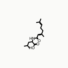 CC(C)=CCCC(C)=CC(=O)NC(CC(C)C)C(=O)O